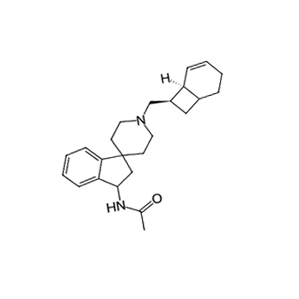 CC(=O)NC1CC2(CCN(C[C@@H]3CC4CCC=C[C@@H]43)CC2)c2ccccc21